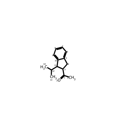 CC(=O)C1Cc2ccccc2C1C(C)C